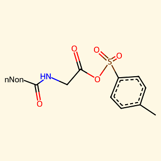 CCCCCCCCCC(=O)NCC(=O)OS(=O)(=O)c1ccc(C)cc1